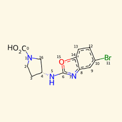 O=C(O)N1CC[C@@H](Nc2nc3cc(Br)ccc3o2)C1